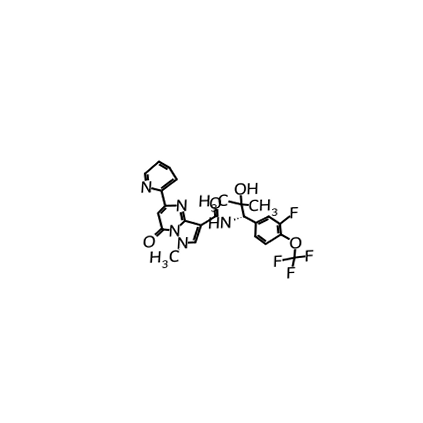 Cn1cc(C(=O)N[C@@H](c2ccc(OC(F)(F)F)c(F)c2)C(C)(C)O)c2nc(-c3ccccn3)cc(=O)n21